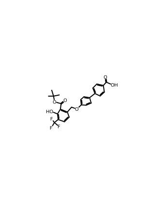 CC(C)(C)OC(=O)c1c(COc2ccc(-c3ccc(C(=O)O)cc3)cc2)ccc(C(F)(F)F)c1O